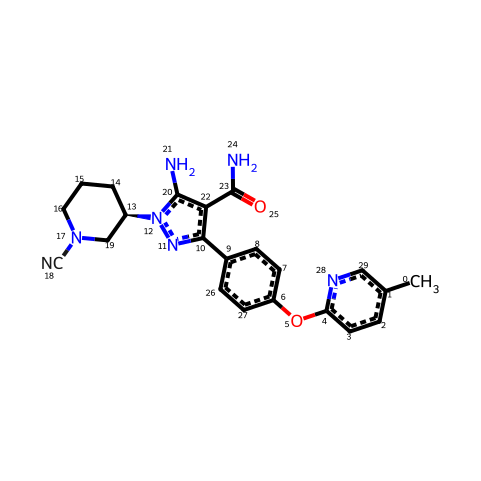 Cc1ccc(Oc2ccc(-c3nn([C@@H]4CCCN(C#N)C4)c(N)c3C(N)=O)cc2)nc1